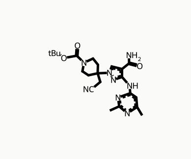 Cc1cc(Nc2nn(C3(CC#N)CCN(C(=O)OC(C)(C)C)CC3)cc2C(N)=O)nc(C)n1